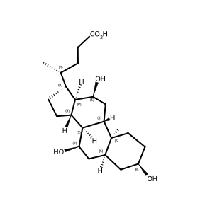 C[C@H](CCC(=O)O)[C@H]1CC[C@@H]2[C@@H]1[C@@H](O)C[C@H]1[C@H]2[C@H](O)C[C@@H]2C[C@H](O)CC[C@@]21C